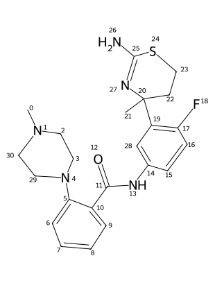 CN1CCN(c2ccccc2C(=O)Nc2ccc(F)c(C3(C)CCSC(N)=N3)c2)CC1